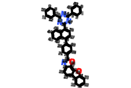 c1ccc(-c2nc(-c3ccccc3)nc(-c3ccc(-c4ccc(-c5nc6ccc7c8ccccc8oc7c6o5)cc4)c4ccccc34)n2)cc1